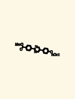 CCCCCCCCOc1ccc(-c2cnc(-c3ccc(C(=O)OC)cc3)nc2)cc1